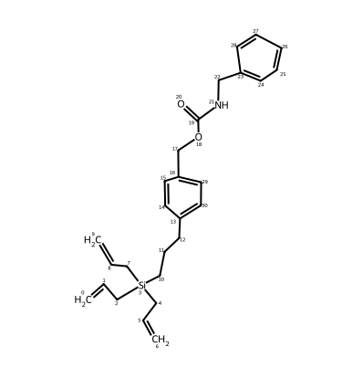 C=CC[Si](CC=C)(CC=C)CCCc1ccc(COC(=O)NCc2ccccc2)cc1